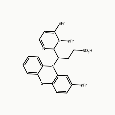 CCCC1=CC=NC(C(CCS(=O)(=O)O)N2c3ccccc3Sc3ccc(CCC)cc32)N1CCC